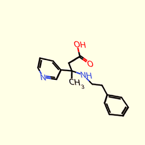 CC(CC(=O)O)(NCCc1ccccc1)c1cccnc1